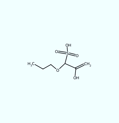 C=C(O)C(OCCC)S(=O)(=O)O